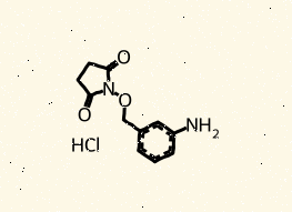 Cl.Nc1cccc(CON2C(=O)CCC2=O)c1